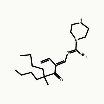 C=C/C(=C\N=C(/N)N1CCNCC1)C(=O)C(C)(CCCC)CCCC